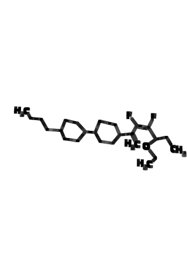 C=C(/C(F)=C(/F)C(CC)OCC)C1CCC(C2CCC(CCCC)CC2)CC1